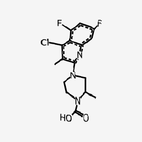 Cc1c(N2CCN(C(=O)O)C(C)C2)nc2cc(F)cc(F)c2c1Cl